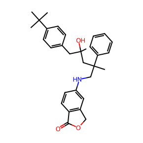 CC(O)(Cc1ccc(C(C)(C)C)cc1)CC(C)(CNc1ccc2c(c1)COC2=O)c1ccccc1